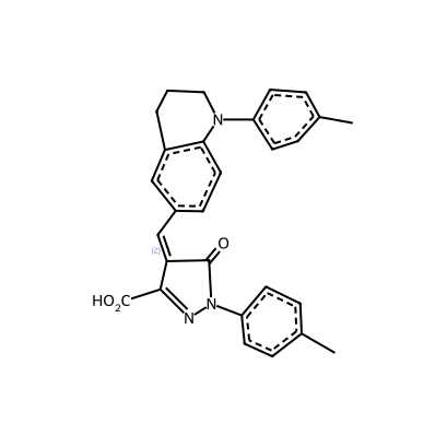 Cc1ccc(N2N=C(C(=O)O)/C(=C/c3ccc4c(c3)CCCN4c3ccc(C)cc3)C2=O)cc1